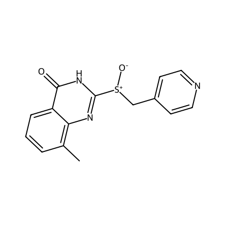 Cc1cccc2c(=O)[nH]c([S+]([O-])Cc3ccncc3)nc12